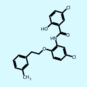 Cc1cccc(CCOc2ccc(Cl)cc2NC(=O)c2cc(Cl)ccc2O)c1